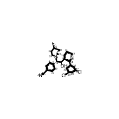 N#Cc1ccc([C@@H]([C@H](O)c2cccnc2-c2cc(Cl)cc(Cl)c2)N2CCC(F)CC2)cc1